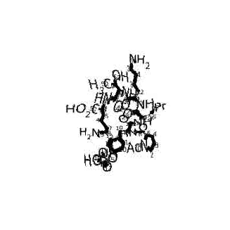 CC(=O)N1CCC[C@H]1C(=O)N[C@@H](Cc1ccc(OP(=O)(O)O)cc1)C(=O)N[C@@H](CC(C)C)C(=O)N[C@@H](CCCCN)C(=O)N[C@H](C(=O)N[C@@H](CCCCN)C(=O)O)[C@@H](C)O